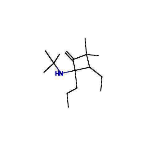 C=C1C(C)(C)C(CC)C1(CCC)NC(C)(C)C